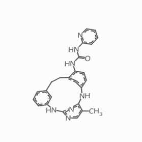 Cc1cnc2nc1Nc1ccc(NC(=O)Nc3ccccn3)c(c1)CCc1cccc(c1)N2